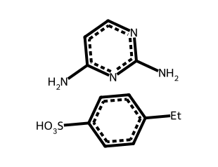 CCc1ccc(S(=O)(=O)O)cc1.Nc1ccnc(N)n1